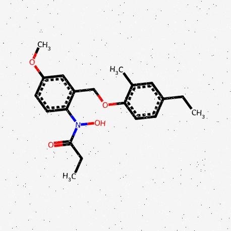 CCC(=O)N(O)c1ccc(OC)cc1COc1ccc(CC)cc1C